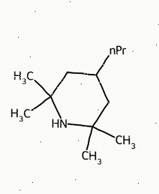 [CH2]CCC1CC(C)(C)NC(C)(C)C1